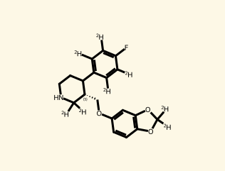 [2H]c1c([2H])c(C2CCNC([2H])([2H])[C@H]2COc2ccc3c(c2)OC([2H])([2H])O3)c([2H])c([2H])c1F